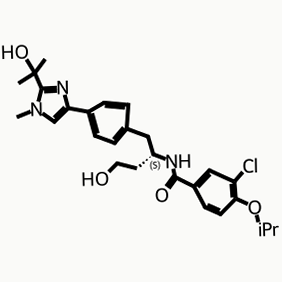 CC(C)Oc1ccc(C(=O)N[C@H](CCO)Cc2ccc(-c3cn(C)c(C(C)(C)O)n3)cc2)cc1Cl